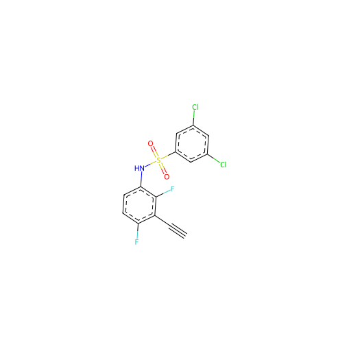 C#Cc1c(F)ccc(NS(=O)(=O)c2cc(Cl)cc(Cl)c2)c1F